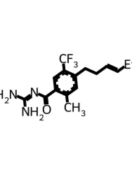 CCC=CCCc1cc(C)c(C(=O)N=C(N)N)cc1C(F)(F)F